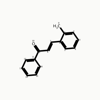 Cc1ccccc1C=CC(=O)c1ccccc1